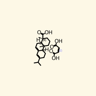 CC(C)C1=CC2=CC[C@@H]3[C@](C)(CCC[C@@]3(C)C(=O)O)[C@H]2CC1.O=C(O)/C=C\C(=O)O